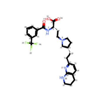 O=C(N[C@@H](CCN1CC[C@H](CCc2ccc3c(n2)NCCC3)C1)C(=O)O)c1cccc(C(F)(F)F)c1